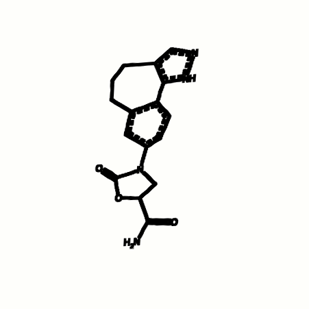 NC(=O)C1CN(c2ccc3c(c2)CCCc2cn[nH]c2-3)C(=O)O1